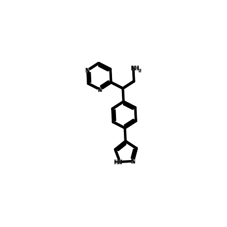 NCC(c1ccc(-c2cn[nH]c2)cc1)c1ccncn1